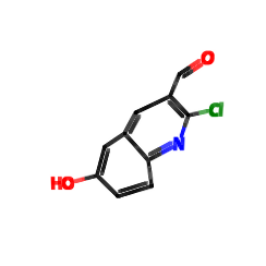 O=Cc1cc2cc(O)ccc2nc1Cl